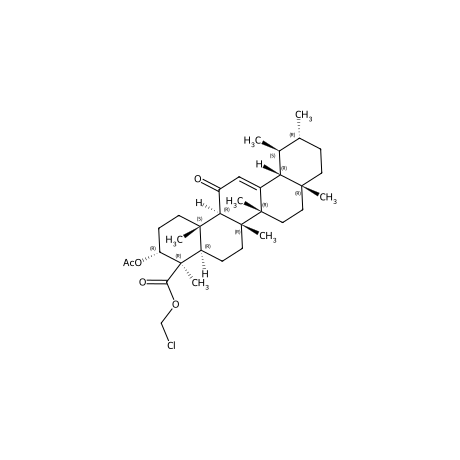 CC(=O)O[C@@H]1CC[C@@]2(C)[C@@H](CC[C@]3(C)[C@@H]2C(=O)C=C2[C@@H]4[C@@H](C)[C@H](C)CC[C@]4(C)CC[C@@]23C)[C@@]1(C)C(=O)OCCl